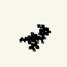 CCCOC(=O)C(C)(C)NP(=O)(CO[C@H](C)Cn1cnc2c(N)ncnc21)OCC(=O)OC(C)C